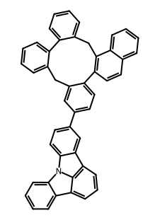 c1ccc2c(c1)Cc1cc(-c3ccc4c(c3)c3cccc5c6ccccc6n4c53)ccc1-c1ccc3ccccc3c1Cc1ccccc1-2